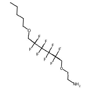 CCCCCOCC(F)(F)C(F)(F)C(F)(F)C(F)(F)COCCN